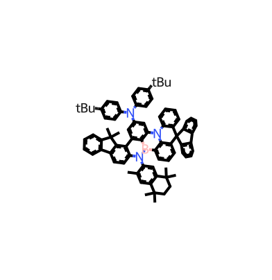 Cc1cc2c(cc1N1B3c4cccc5c4N(c4ccccc4C54c5ccccc5-c5ccccc54)c4cc(N(c5ccc(C(C)(C)C)cc5)c5ccc(C(C)(C)C)cc5)cc(c43)-c3c1ccc1c3C(C)(C)c3ccccc3-1)C(C)(C)CCC2(C)C